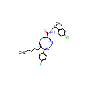 C[C@H](CNC(=O)C1=C/C/C=C(CCCCC=O)\C(c2ccc(F)cc2)=N/C/N=C\1)c1ccc(Cl)cc1